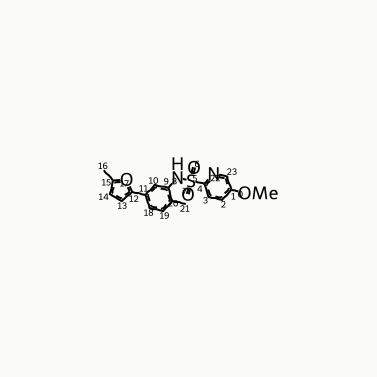 COc1ccc(S(=O)(=O)Nc2cc(-c3ccc(C)o3)ccc2C)nc1